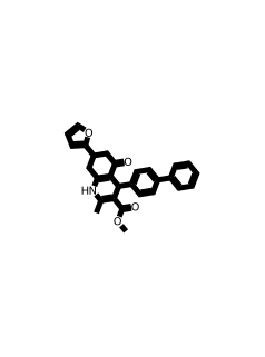 COC(=O)C1=C(C)NC2=C(C(=O)CC(c3ccco3)C2)C1c1ccc(-c2ccccc2)cc1